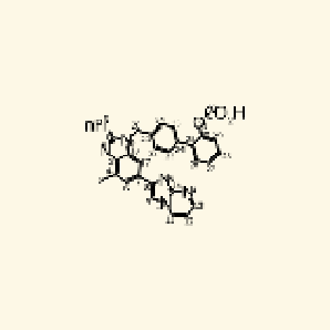 CCCc1nc2c(C)cc(-c3cn4cccnc4n3)cc2n1Cc1ccc(-c2ccccc2OC(=O)O)cc1